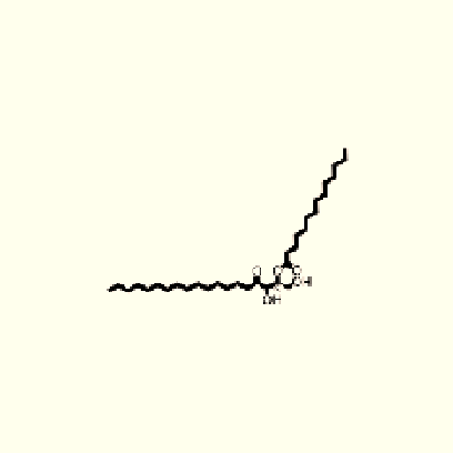 CCCCCCCCCCCCCCCC(=O)C(O)[C@H](CO)OC(=O)CCCCCCCCCCCCC